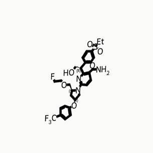 CCS(=O)(=O)c1ccc([C@@H](CO)c2nc(N3C[C@H](Oc4ccc(C(F)(F)F)cc4)C[C@H]3COCCF)ccc2C(N)=O)cc1